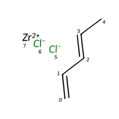 C=CC=CC.[Cl-].[Cl-].[Zr+2]